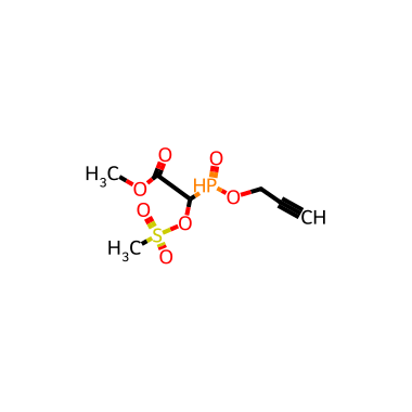 C#CCO[PH](=O)C(OS(C)(=O)=O)C(=O)OC